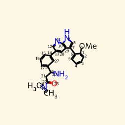 COc1ccccc1-c1c[nH]c2ncc(-c3cccc(C(N)CC(=O)N(C)C)c3)cc12